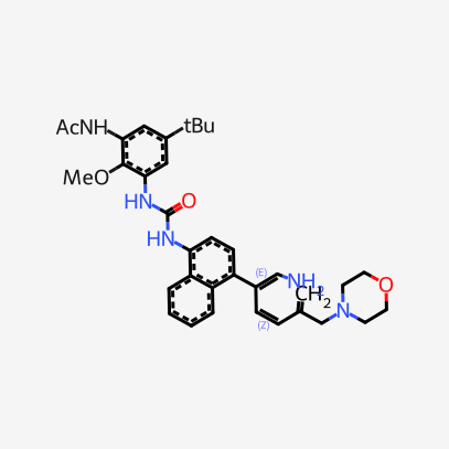 C=C(/C=C\C(=C/N)c1ccc(NC(=O)Nc2cc(C(C)(C)C)cc(NC(C)=O)c2OC)c2ccccc12)CN1CCOCC1